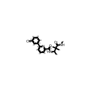 CNC(=O)C(C)(C)C(C)NC(=O)c1cccc(-c2cccc(Cl)c2)n1